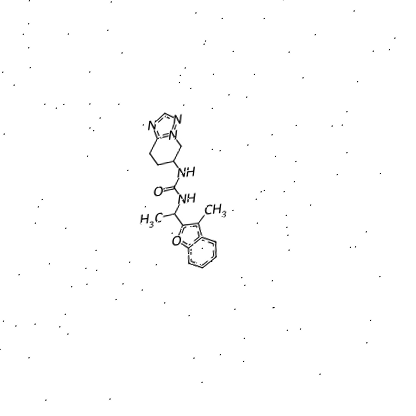 Cc1c(C(C)NC(=O)NC2CCc3ncnn3C2)oc2ccccc12